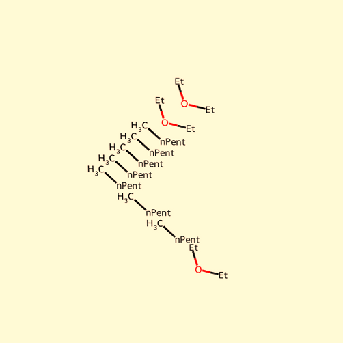 CCCCCC.CCCCCC.CCCCCC.CCCCCC.CCCCCC.CCCCCC.CCCCCC.CCOCC.CCOCC.CCOCC